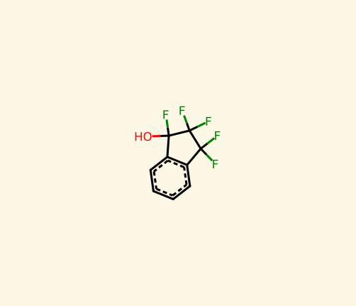 OC1(F)c2ccccc2C(F)(F)C1(F)F